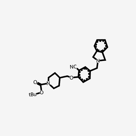 CC(C)(C)OC(=O)N1CCC(COc2ccc(CN3Cc4ccccc4C3)cc2C#N)CC1